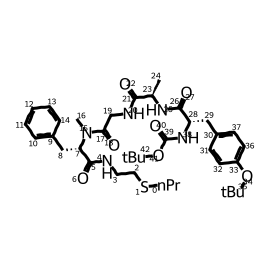 CCCSCCNC(=O)[C@H](Cc1ccccc1)N(C)C(=O)CNC(=O)[C@@H](C)NC(=O)[C@H](Cc1ccc(OC(C)(C)C)cc1)NC(=O)OC(C)(C)C